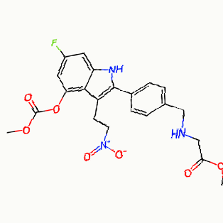 COC(=O)CNCc1ccc(-c2[nH]c3cc(F)cc(OC(=O)OC)c3c2CC[N+](=O)[O-])cc1